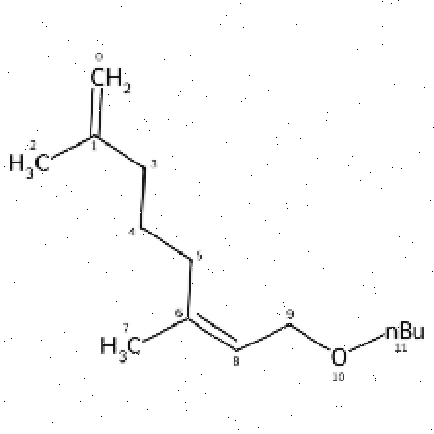 C=C(C)CCCC(C)=CCOCCCC